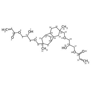 C=CC(=O)OCC(O)COCC1(C)CC2CC(C1)C1CC(C)(COCC(O)COC(=O)C=C)CCC21